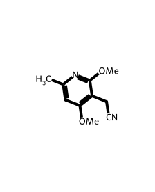 COc1cc(C)nc(OC)c1CC#N